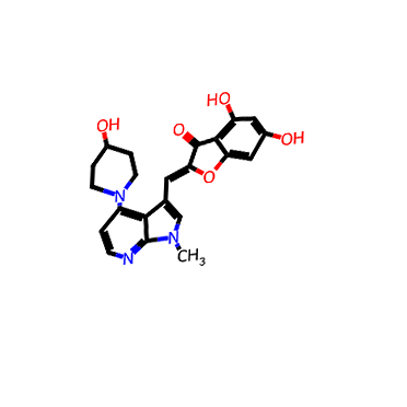 Cn1cc(C=C2Oc3cc(O)cc(O)c3C2=O)c2c(N3CCC(O)CC3)ccnc21